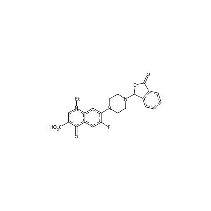 CCn1cc(C(=O)O)c(=O)c2cc(F)c(N3CCN(C4OC(=O)c5ccccc54)CC3)cc21